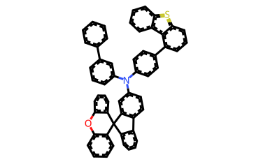 c1ccc(-c2cccc(N(c3ccc(-c4cccc5sc6ccccc6c45)cc3)c3ccc4c(c3)C3(c5ccccc5Oc5ccccc53)c3ccccc3-4)c2)cc1